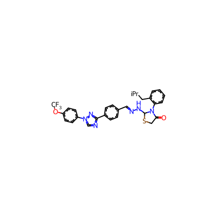 CC(C)Cc1ccccc1N1C(=O)CSC1N/N=C/c1ccc(-c2ncn(-c3ccc(OC(F)(F)F)cc3)n2)cc1